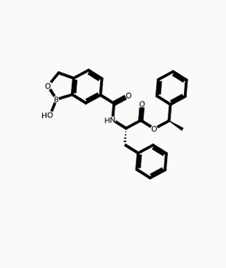 C[C@@H](OC(=O)[C@H](Cc1ccccc1)NC(=O)c1ccc2c(c1)B(O)OC2)c1ccccc1